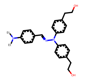 CCN(CC)c1ccc(C=NN(c2ccc(CCO)cc2)c2ccc(CCO)cc2)cc1